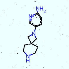 Nc1ccc(N2CC3(CCNCC3)C2)cn1